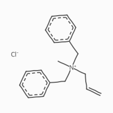 C=CC[N+](C)(Cc1ccccc1)Cc1ccccc1.[Cl-]